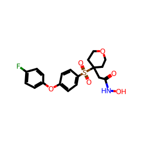 O=C(CC1(S(=O)(=O)c2ccc(Oc3ccc(F)cc3)cc2)CCOCC1)NO